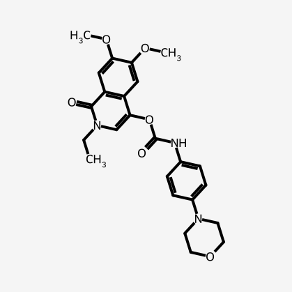 CCn1cc(OC(=O)Nc2ccc(N3CCOCC3)cc2)c2cc(OC)c(OC)cc2c1=O